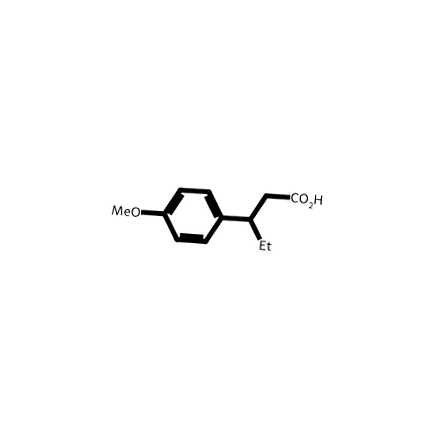 CCC(CC(=O)O)c1ccc(OC)cc1